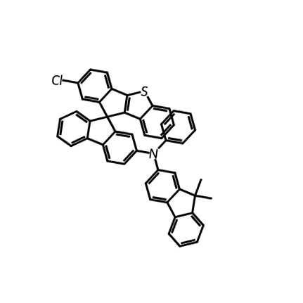 CC1(C)c2ccccc2-c2ccc(N(c3ccccc3)c3ccc4c(c3)C3(c5ccccc5-4)c4cc(Cl)ccc4-c4sc5ccccc5c43)cc21